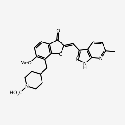 COc1ccc2c(c1CC1CCN(C(=O)O)CC1)OC(=Cc1n[nH]c3nc(C)ccc13)C2=O